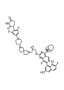 CCc1c(F)ccc2cc(O)cc(-c3ncc4c(N5CC6CCC(C5)N6)nc(OCC5(CN6CCC7(CCN(C8CCN(c9cc(F)c(C%10CCC(=O)NC%10=O)c(F)c9)CC8)C7)C6)CC5)nc4c3F)c12